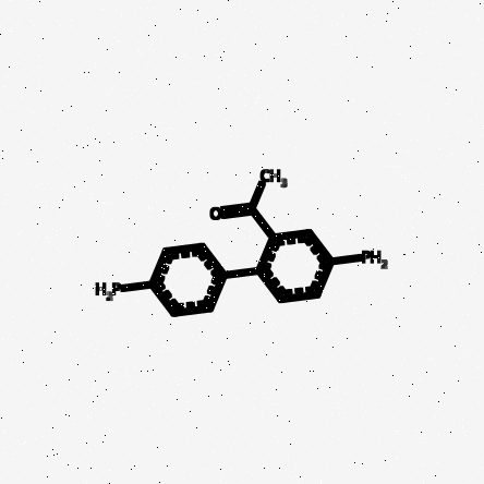 CC(=O)c1cc(P)ccc1-c1ccc(P)cc1